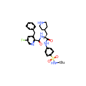 CC(C)(C)NS(=O)(=O)c1ccc(NC(=O)[C@H](CC2CCNCC2)NC(=O)c2ncc(F)cc2Cc2ccccc2)cc1